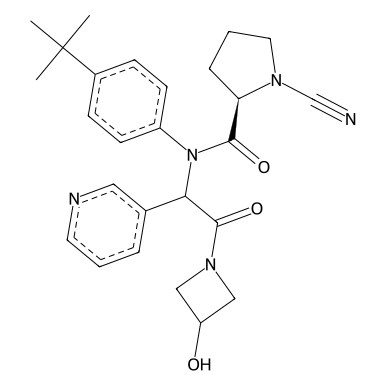 CC(C)(C)c1ccc(N(C(=O)[C@H]2CCCN2C#N)C(C(=O)N2CC(O)C2)c2cccnc2)cc1